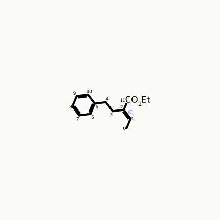 C/C=C(\CCc1ccccc1)C(=O)OCC